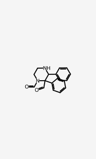 O=CN1CCNC(c2ccccc2)C1(C=O)c1ccccc1